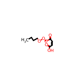 CCCCOOOC(=O)/C=C\C(=O)O